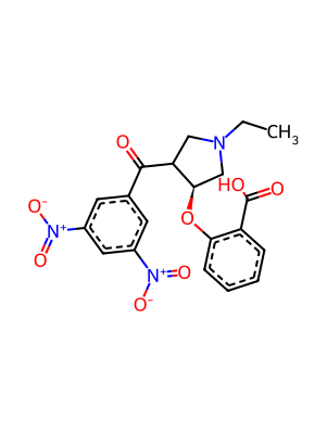 CCN1CC(C(=O)c2cc([N+](=O)[O-])cc([N+](=O)[O-])c2)[C@H](Oc2ccccc2C(=O)O)C1